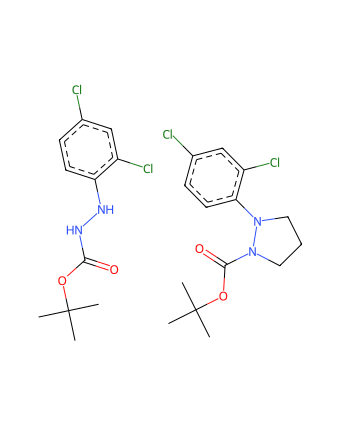 CC(C)(C)OC(=O)N1CCCN1c1ccc(Cl)cc1Cl.CC(C)(C)OC(=O)NNc1ccc(Cl)cc1Cl